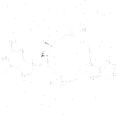 Nc1nc2c(ncn2[C@@H]2O[C@@H]3COP(=O)(S)OCCn4c(nc5cncnc54)COP(=O)(S)O[C@@H]2[C@@H]3F)c(=O)[nH]1